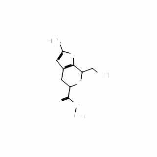 CC(C)(C)OC(=O)C1Cc2cc(N)sc2C(CO)O1